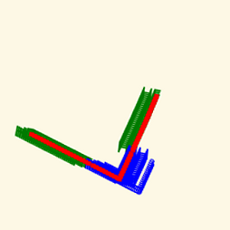 F.F.F.F.F.F.F.F.F.F.F.F.F.F.F.F.F.F.F.F.F.F.F.F.F.F.F.F.F.F.F.F.F.F.F.F.F.F.F.F.F.F.F.F.F.F.F.F.F.F.F.F.F.F.F.F.F.F.F.F.F.F.F.F.F.F.F.F.F.F.F.F.F.F.F.F.F.F.F.F.N.N.N.N.N.N.N.N.N.N.N.N.N.N.N.N.N.N.N.N.N.N.N.N.N.N.N.N.N.N.N.N.N.N.N.N.N.N.N.N